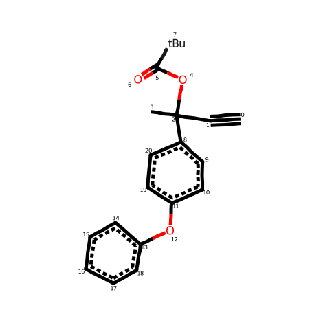 C#CC(C)(OC(=O)C(C)(C)C)c1ccc(Oc2ccccc2)cc1